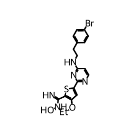 CCOc1cc(-c2nccc(NCCc3ccc(Br)cc3)n2)sc1C(=N)NO